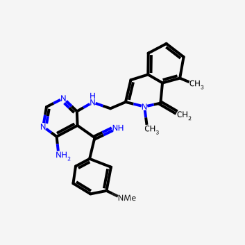 C=C1c2c(C)cccc2C=C(CNc2ncnc(N)c2C(=N)c2cccc(NC)c2)N1C